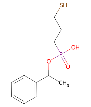 CC(OP(=O)(O)CCCS)c1ccccc1